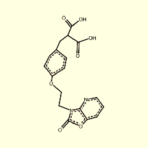 O=C(O)C(Cc1ccc(OCCn2c(=O)oc3cccnc32)cc1)C(=O)O